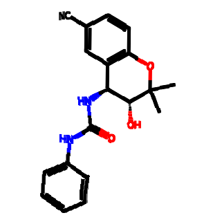 CC1(C)Oc2ccc(C#N)cc2[C@H](NC(=O)Nc2ccccc2)[C@H]1O